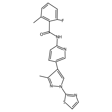 Cc1cccc(F)c1C(=O)Nc1ccc(-c2cn(-c3nccs3)nc2C)cn1